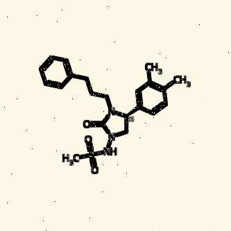 Cc1ccc([C@H]2CN(NS(C)(=O)=O)C(=O)N2CCCc2ccccc2)cc1C